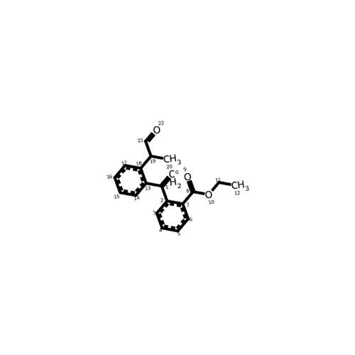 C=C(c1ccccc1C(=O)OCC)c1ccccc1C(C)C=O